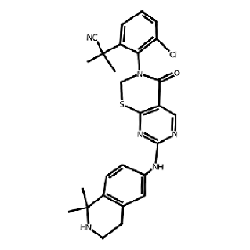 CC(C)(C#N)c1cccc(Cl)c1N1CSc2nc(Nc3ccc4c(c3)CCNC4(C)C)ncc2C1=O